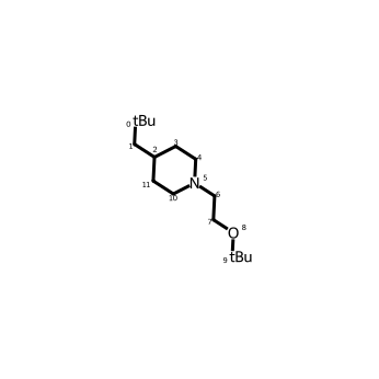 CC(C)(C)CC1CCN(CCOC(C)(C)C)CC1